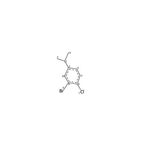 C[C](C)c1ccc(Cl)c(Br)c1